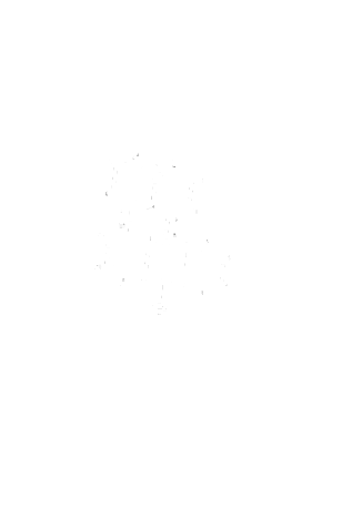 Brc1c2ccccc2c2c3cccc4cccc(c5cccc1c52)c43